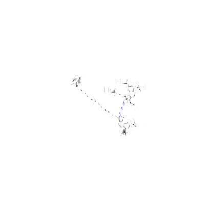 COCC[N+]1=C(/C=C/C=C/C=C2/N(CCOCCOCCOCCOCCOCCC(=O)ON3C(=O)CCC3=O)c3ccc4c(S(=O)(=O)[O-])cc(S(=O)(=O)O)cc4c3C2(C)C)C(C)(CCCS(=O)(=O)O)c2c1ccc1c(S(=O)(=O)O)cc(S(=O)(=O)O)cc21